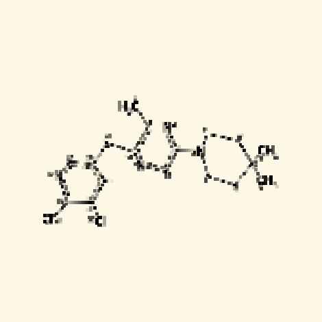 Cc1nc(N2CCC(C)(C)CC2)cnc1Sc1cnc(Cl)c(Cl)c1